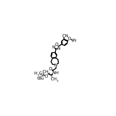 CC(C)Oc1ccc(-c2nc(-c3ccc4c(c3)CCN(CC(=O)N[C@H](C)CO[Si](C)(C)C(C)(C)C)CC4)no2)cc1C#N